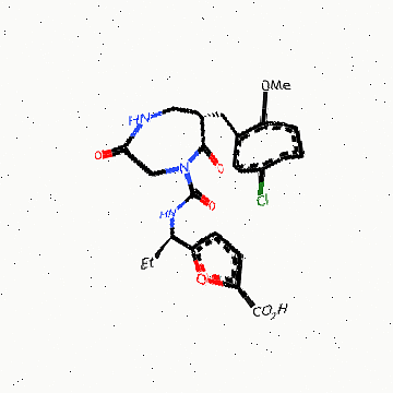 CC[C@@H](NC(=O)N1CC(=O)NC[C@H](Cc2cc(Cl)ccc2OC)C1=O)c1ccc(C(=O)O)o1